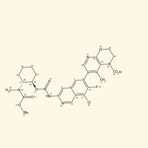 Cc1c(-c2cc3cc(NC(=O)O[C@@H]4CCCC[C@H]4N(C)C(=O)OC(C)(C)C)ncc3c(Cl)c2F)cnc2c1N(C(=O)O)CCO2